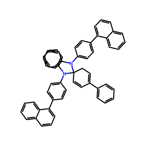 C1=CC(N(c2ccccc2)c2ccc(-c3cccc4ccccc34)cc2)(N(c2ccccc2)c2ccc(-c3cccc4ccccc34)cc2)CC=C1c1ccccc1